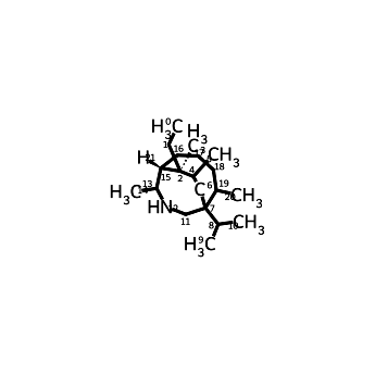 CC[C@@]1(C)C(C)CC2(C(C)C)CNC(C)[C@@H]1CCCC2C